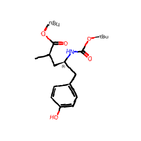 CCCCOC(=O)C(C)C[C@H](Cc1ccc(O)cc1)NC(=O)OC(C)(C)C